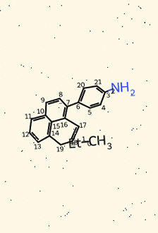 CCC.Nc1ccc(-c2ccc3cccc4c3c2C=CC4)cc1